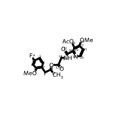 COc1cc(F)ccc1CC(C)OC(=O)CNC(=O)c1nccc(OC)c1OC(C)=O